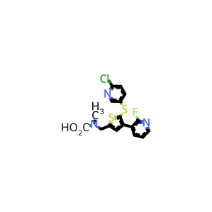 CN(Cc1cc(-c2cccnc2F)c(Sc2ccc(Cl)nc2)s1)C(=O)O